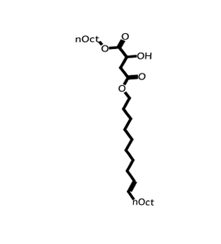 CCCCCCCCC=CCCCCCCCCOC(=O)CC(O)C(=O)OCCCCCCCC